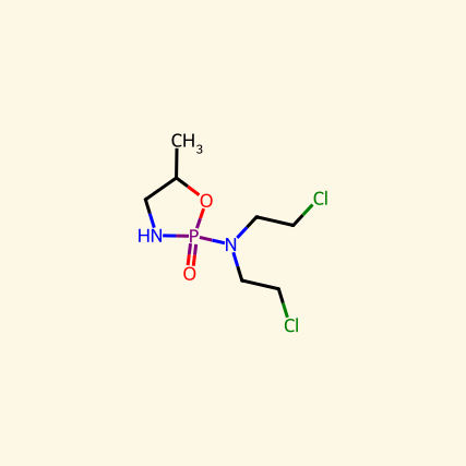 CC1CNP(=O)(N(CCCl)CCCl)O1